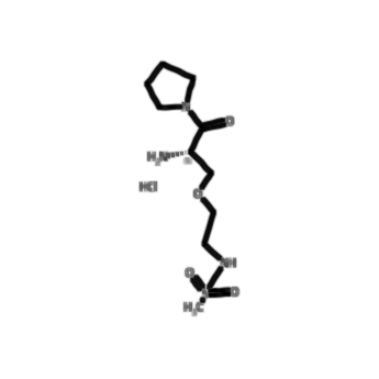 CS(=O)(=O)NCCOC[C@H](N)C(=O)N1CCCC1.Cl